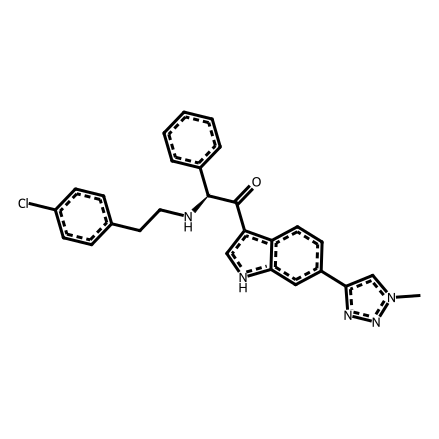 Cn1cc(-c2ccc3c(C(=O)[C@@H](NCCc4ccc(Cl)cc4)c4ccccc4)c[nH]c3c2)nn1